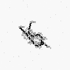 CCCCCCCCCCCCCCCC(=O)NCC(C)(C)COCC(C)(C)CNC(=O)CC(C)(C)COCC(C)(C)NC(=O)c1cc(OCCN)cc(C(=O)NCC(C)(C)COCC(C)(C)CC(=O)NCC(C)(C)OCC(C)(C)CNC(=O)CCCCCCCCCCCCCCC)c1